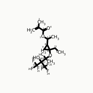 C=C(C)C(=O)OC(C)C1CC1(CC)OC(C)(C)C(O)(C(F)(F)F)C(F)(F)F